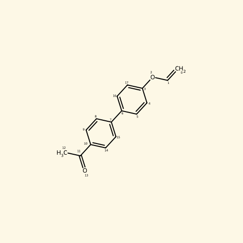 C=COc1ccc(-c2ccc(C(C)=O)cc2)cc1